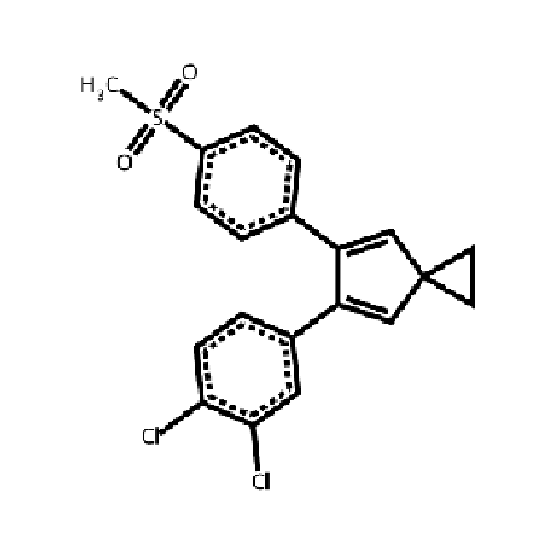 CS(=O)(=O)c1ccc(C2=CC3(C=C2c2ccc(Cl)c(Cl)c2)CC3)cc1